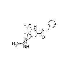 CC(C)NC(CCCNC(=N)N)C(=O)NCc1ccccc1